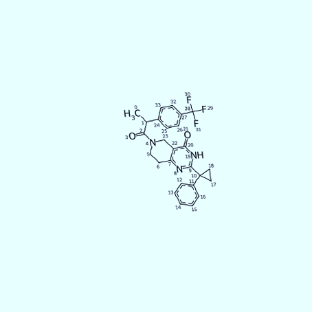 CC(C(=O)N1CCc2nc(C3(c4ccccc4)CC3)[nH]c(=O)c2C1)c1ccc(C(F)(F)F)cc1